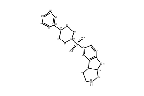 O=S(=O)(c1ccc2c(c1)C1CCNCC1O2)N1CCC(c2ccccc2)CC1